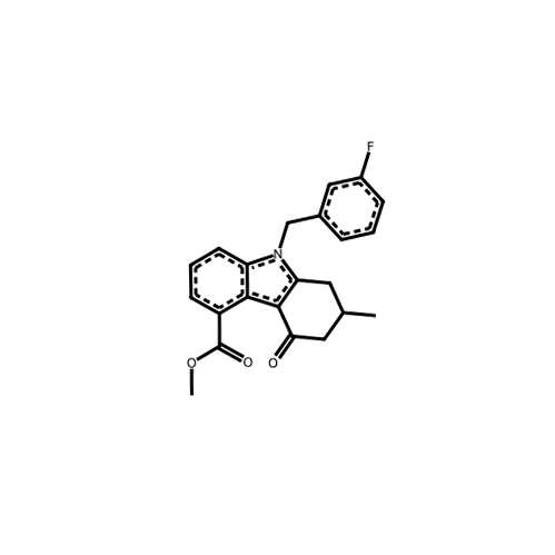 COC(=O)c1cccc2c1c1c(n2Cc2cccc(F)c2)CC(C)CC1=O